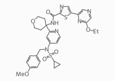 CCOc1cncc(-c2cnc(C(=O)NC3(c4cc(N(Cc5ccc(OC)cc5)S(=O)(=O)C5CC5)ccn4)CCOCC3)s2)n1